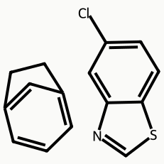 Clc1ccc2scnc2c1.c1cc2cc(c1)CC2